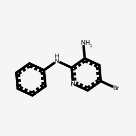 Nc1cc(Br)cnc1Nc1ccccc1